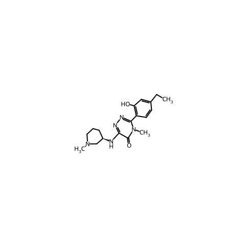 CCc1ccc(-c2nnc(N[C@@H]3CCCN(C)C3)c(=O)n2C)c(O)c1